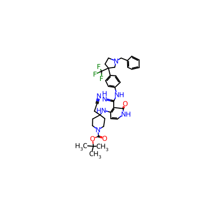 CC(C)(C)OC(=O)N1CCC(CC#N)(Nc2cc[nH]c(=O)c2C(=N)Nc2ccc(C3(C(F)(F)F)CCN(Cc4ccccc4)C3)cc2)CC1